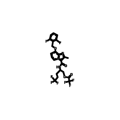 Cc1nc2c(OCc3c(F)cccc3F)cccn2c1C(=O)NC(CCC(F)(F)F)COC(=O)C(F)(F)F